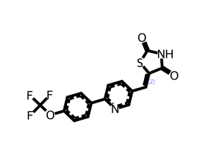 O=C1NC(=O)/C(=C/c2ccc(-c3ccc(OC(F)(F)F)cc3)nc2)S1